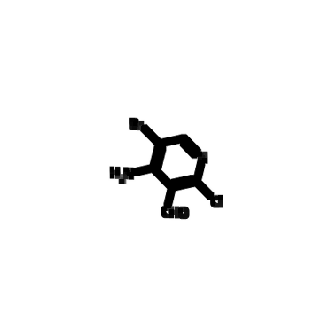 Nc1c(Br)cnc(Cl)c1C=O